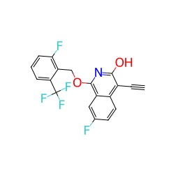 C#Cc1c(O)nc(OCc2c(F)cccc2C(F)(F)F)c2cc(F)ccc12